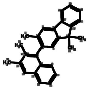 Cc1cc2c(cc1-c1c3ccccc3cc(C)[n+]1C)C(C)(C)c1ccccc1-2